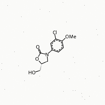 COc1ccc(N2C[C@H](CO)OC2=O)cc1Cl